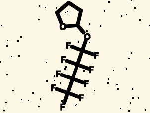 FC(F)(F)C(F)(F)C(F)(F)C(F)(F)OC1CCCO1